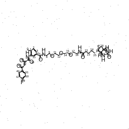 Cc1ccc(C(=O)NCCOCCOCCOCCNC(=O)CCCC[C@@H]2SC[C@@H]3NC(=O)N[C@@H]32)cc1NC(=O)C(=O)CC(=O)c1ccc(F)cc1